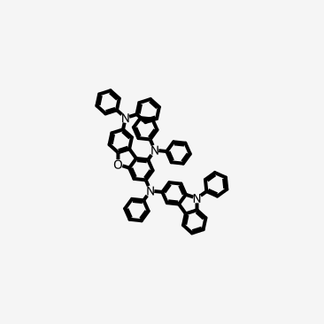 c1ccc(N(c2ccccc2)c2ccc3oc4cc(N(c5ccccc5)c5ccc6c(c5)c5ccccc5n6-c5ccccc5)cc(N(c5ccccc5)c5ccccc5)c4c3c2)cc1